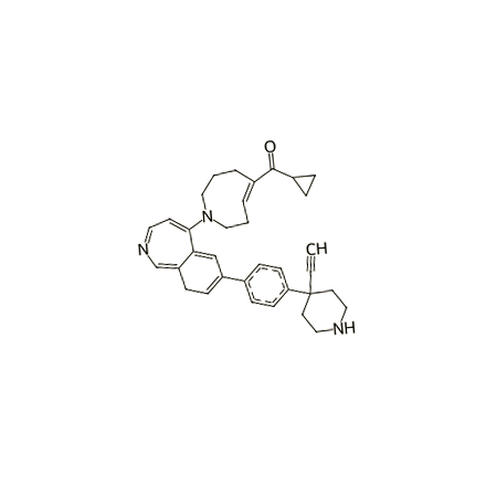 C#CC1(c2ccc(C3=CCC4=CN=CC=C(N5CC/C=C(\C(=O)C6CC6)CCC5)C4=C3)cc2)CCNCC1